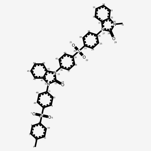 Cc1ccc(S(=O)(=O)c2ccc(-n3c(=O)n(-c4ccc(S(=O)(=O)c5ccc(-n6c(=O)n(C)c7ccccc76)cc5)cc4)c4ccccc43)cc2)cc1